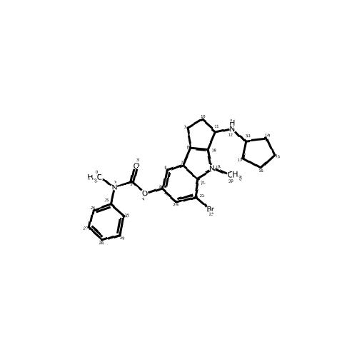 CN(C(=O)OC1=CC2C3CCC(NC4CCCC4)C3N(C)C2C(Br)=C1)c1ccccc1